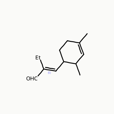 CC/C(C=O)=C\C1CCC(C)=CC1C